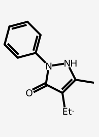 C[CH]c1c(C)[nH]n(-c2ccccc2)c1=O